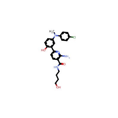 CN(c1ccc(Cl)cc1)c1ccc(O)c(-c2ccc(C(=O)NCCCCO)c(N)n2)c1